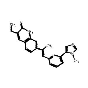 CCc1cc2ccc(/C(C)=C/c3cccc(-c4cncn4C)n3)cc2[nH]c1=O